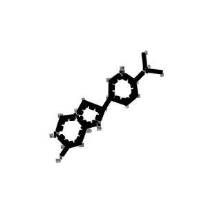 CN(C)c1ccc(-c2cn3cnc(I)cc3n2)cn1